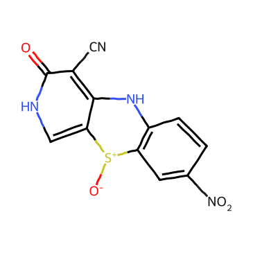 N#Cc1c2c(c[nH]c1=O)[S+]([O-])c1cc([N+](=O)[O-])ccc1N2